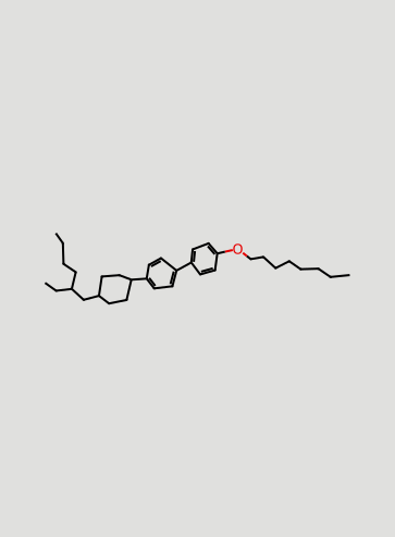 CCCCCCCCOc1ccc(-c2ccc(C3CCC(CC(CC)CCCC)CC3)cc2)cc1